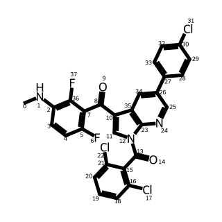 CNc1ccc(F)c(C(=O)c2cn(C(=O)c3c(Cl)cccc3Cl)c3ncc(-c4ccc(Cl)cc4)cc23)c1F